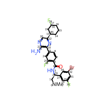 CNC[C@@H](NC(=O)c1ccc(-c2nc([C@@H]3CCC[C@H](F)C3)cnc2N)cc1F)c1cc(F)cc(Br)c1